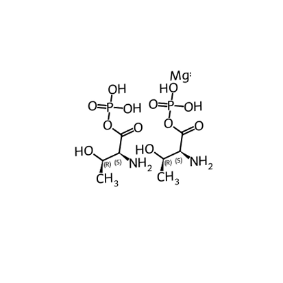 C[C@@H](O)[C@H](N)C(=O)OP(=O)(O)O.C[C@@H](O)[C@H](N)C(=O)OP(=O)(O)O.[Mg]